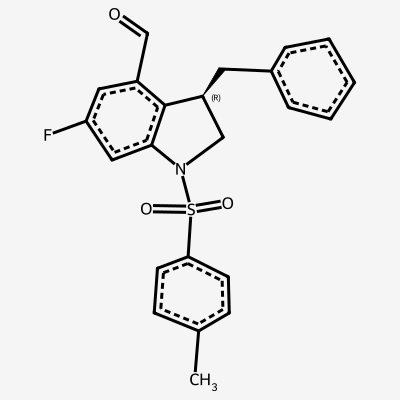 Cc1ccc(S(=O)(=O)N2C[C@H](Cc3ccccc3)c3c(C=O)cc(F)cc32)cc1